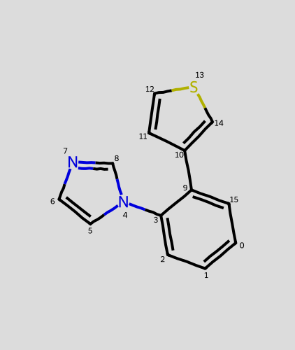 c1ccc(-n2ccnc2)c(-c2ccsc2)c1